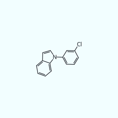 Clc1cccc(-n2ccc3ccccc32)c1